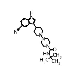 CC(C)(C)NC(=O)N1CCN(N2CCC(c3c[nH]c4ccc(C#N)cc34)CC2)CC1